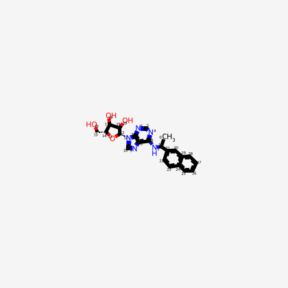 CC(Nc1ncnc2c1ncn2[C@@H]1O[C@H](CO)C(O)C1O)c1ccc2ccccc2c1